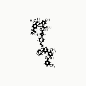 Cc1ncc(NC(=O)c2cccc(C(F)(F)F)c2)cc1-c1cnc(OCCN2CCN(C3CC(C(=O)N[C@@H](C(=O)N4C[C@H](O)C[C@H]4C(=O)N[C@@H](C)c4ccc(-c5scnc5C)cc4)C(C)(C)C)C3)CC2)c(N2CCOCC2)c1